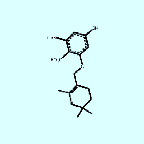 CCCCCCc1cc(O)cc(OCC2=C(C)CC(C)(C)CC2)c1C(=O)O